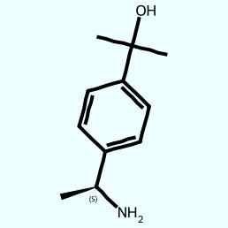 C[C@H](N)c1ccc(C(C)(C)O)cc1